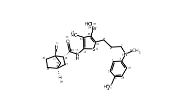 Cc1ccc(N(C)CCCc2sc(NC(=O)[C@@H]3C[C@H]4CC[C@H]3C4)c(C#N)c2Br)cc1.Cl